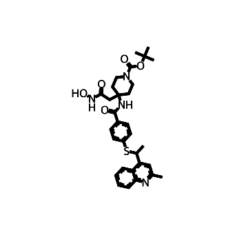 Cc1cc(C(C)Sc2ccc(C(=O)NC3(CC(=O)NO)CCN(C(=O)OC(C)(C)C)CC3)cc2)c2ccccc2n1